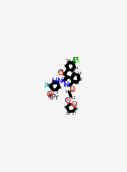 CC(C)Oc1ccc(Nc2nc(OCCOC3CCCCO3)c3ccccc3c2C(=O)c2ccc(Cl)cc2)cc1F